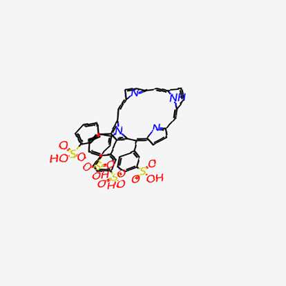 O=S(=O)(O)c1cccc(-c2c(-c3cccc(S(=O)(=O)O)c3)c3c(-c4cccc(S(=O)(=O)O)c4)c4nc(cc5ccc(cc6nc(cc2n3-c2cccc(S(=O)(=O)O)c2)C=C6)[nH]5)C=C4)c1